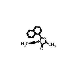 CC#CN1C(=O)C(C)SC1c1cccc2ccccc12